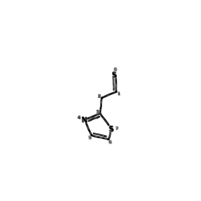 S=CCc1nccs1